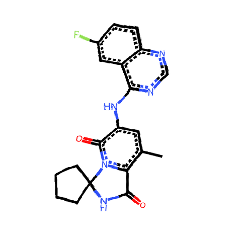 Cc1cc(Nc2ncnc3ccc(F)cc23)c(=O)n2c1C(=O)NC21CCCC1